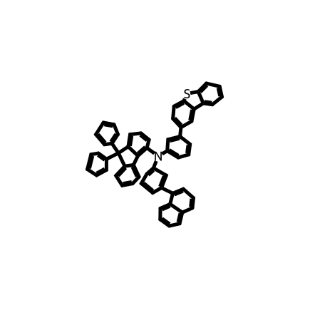 c1ccc(C2(c3ccccc3)c3ccccc3-c3c(N(c4cccc(-c5ccc6sc7ccccc7c6c5)c4)c4cccc(-c5cccc6ccccc56)c4)cccc32)cc1